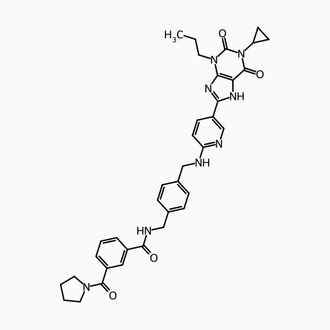 CCCn1c(=O)n(C2CC2)c(=O)c2[nH]c(-c3ccc(NCc4ccc(CNC(=O)c5cccc(C(=O)N6CCCC6)c5)cc4)nc3)nc21